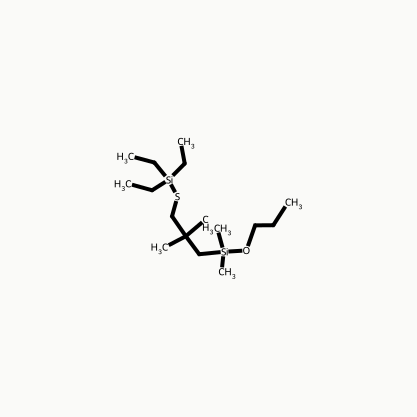 CCCO[Si](C)(C)CC(C)(C)CS[Si](CC)(CC)CC